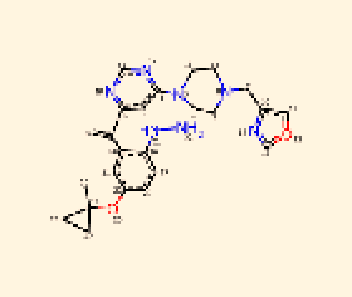 C=C(c1cc(N2CCN(Cc3cocn3)CC2)ncn1)c1cc(OC2(C)CC2)ccc1NN